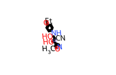 CCOc1ccc(NC(O)/C(C#N)=C(\O)c2cnoc2C)cc1